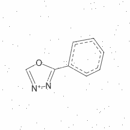 C1=[N+]N=C(c2ccccc2)O1